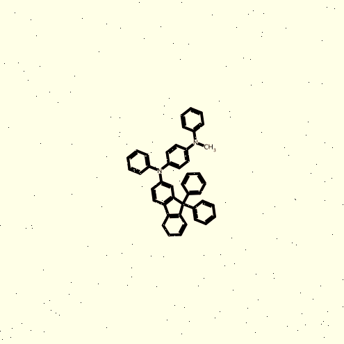 CN(c1ccccc1)c1ccc(N(c2ccccc2)c2ccc3c(c2)C(c2ccccc2)(c2ccccc2)C2=C3CCC=C2)cc1